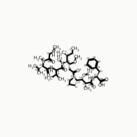 CC[C@H](C)[C@@H]([C@@H](CC(=O)N1CCC[C@H]1[C@H](OC)[C@@H](C)C(=O)N[C@@H](Cc1ccccc1)C(=O)O)OC)N(C)C(=O)C(NC(=O)[C@H](C(C)C)N(C)C(=O)CNC)C(C)C